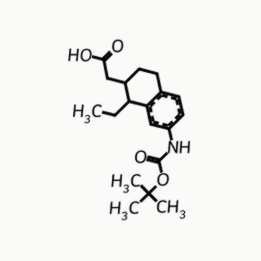 CCC1c2cc(NC(=O)OC(C)(C)C)ccc2CCC1CC(=O)O